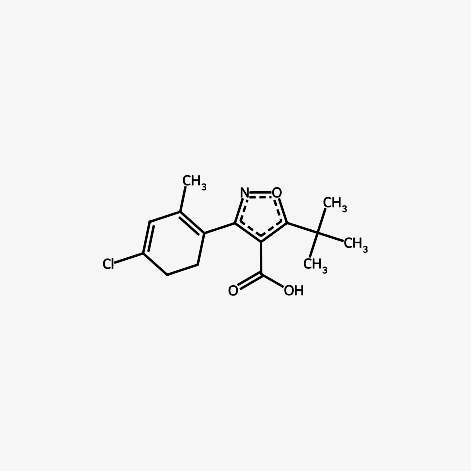 CC1=C(c2noc(C(C)(C)C)c2C(=O)O)CCC(Cl)=C1